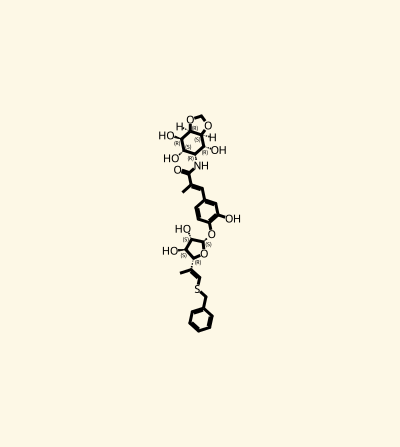 CC(=Cc1ccc(O[C@@H]2O[C@H](C(C)=CSCc3ccccc3)[C@@H](O)[C@@H]2O)c(O)c1)C(=O)N[C@@H]1[C@H](O)[C@@H](O)[C@H]2OCO[C@H]2[C@@H]1O